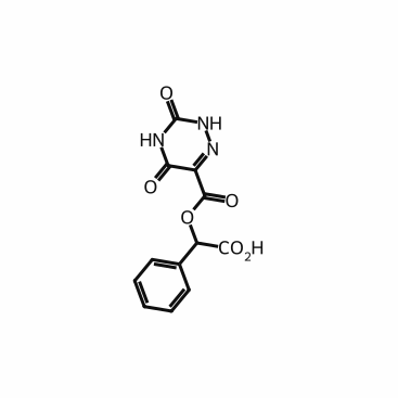 O=C(OC(C(=O)O)c1ccccc1)c1n[nH]c(=O)[nH]c1=O